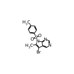 Cc1ccc(S(=O)(=O)n2c(C)c(Br)c3cncnc32)cc1